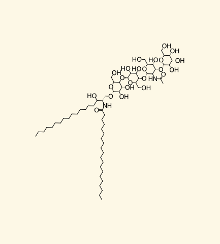 CCCCCCCCCCCCC/C=C/[C@@H](O)[C@H](CO[C@@H]1OC(CO)[C@@H](O[C@@H]2OC(CO)[C@H](O[C@@H]3OC(CO)[C@H](O)[C@H](O[C@@H]4OC(CO)[C@H](O)[C@H](O)C4O)C3NC(C)=O)[C@H](O)C2O)[C@H](O)C1O)NC(=O)CCCCCCCCCCCCCCCCCCC